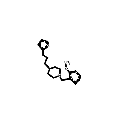 COc1ncccc1CN1CCC(CCCc2cccs2)CC1